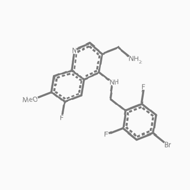 COc1cc2ncc(CN)c(NCc3c(F)cc(Br)cc3F)c2cc1F